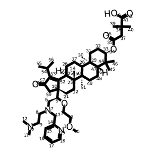 COCCO[C@@H](CN(CCN(C)C)Cc1ccccn1)[C@@]12CC[C@]3(C)[C@H](CCC4[C@@]5(C)CC[C@H](OC(=O)CC(C)(C)C(=O)O)C(C)(C)[C@@H]5CC[C@]43C)C1=C(C(C)C)C(=O)C2